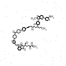 CCCN(CCNCC#Cc1ccc(N2CCC(C(=O)N3CCC(n4cc(CNc5cccc6c5C(=O)N(C(C=O)CCC(=O)NC)C6=O)cn4)CC3)CC2)nc1)c1ccc(-n2c(C)nc3ccc(-c4ccnc(N)c4)nc32)cc1F